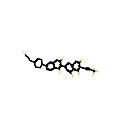 FCCCC1=CCC(c2ccc3c(F)c(-c4cc(F)c5c(F)c(C#CC(F)(F)F)c(F)cc5c4)c(F)cc3c2)CC1